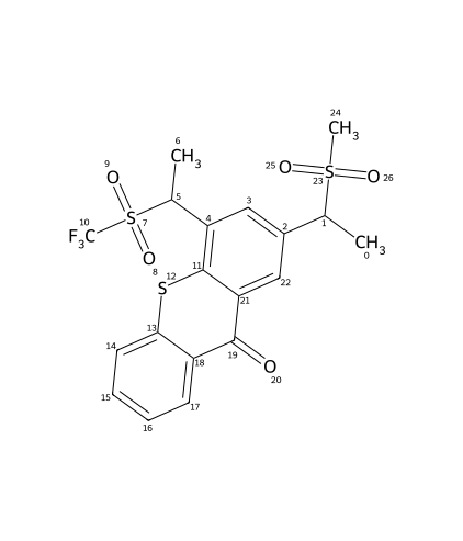 CC(c1cc(C(C)S(=O)(=O)C(F)(F)F)c2sc3ccccc3c(=O)c2c1)S(C)(=O)=O